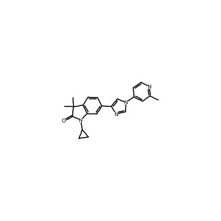 Cc1cc(-n2cnc(-c3ccc4c(c3)N(C3CC3)C(=O)C4(C)C)c2)ccn1